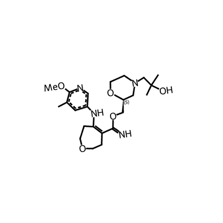 COc1ncc(NC2=C(C(=N)OC[C@@H]3CN(CC(C)(C)O)CCO3)CCOCC2)cc1C